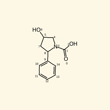 O=C(O)N1CC(O)CC1c1ccccc1